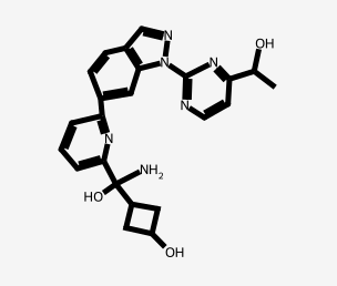 CC(O)c1ccnc(-n2ncc3ccc(-c4cccc(C(N)(O)C5CC(O)C5)n4)cc32)n1